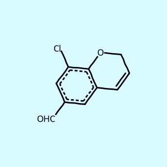 O=Cc1cc(Cl)c2c(c1)C=CCO2